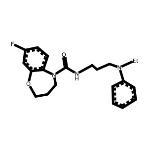 CCN(CCCNC(=O)N1CCCOc2cc(F)ccc21)c1ccccc1